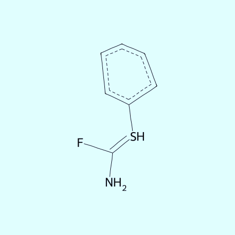 NC(F)=[SH]c1ccccc1